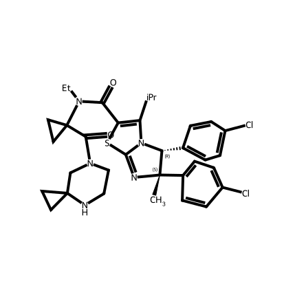 CCN(C(=O)C1=C(C(C)C)N2C(=N[C@@](C)(c3ccc(Cl)cc3)[C@H]2c2ccc(Cl)cc2)S1)C1(C(=O)N2CCNC3(CC3)C2)CC1